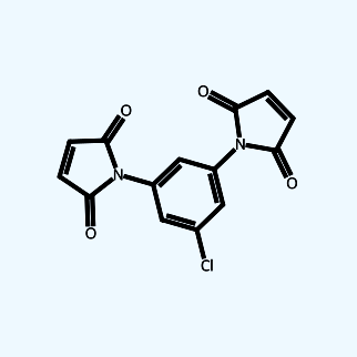 O=C1C=CC(=O)N1c1cc(Cl)cc(N2C(=O)C=CC2=O)c1